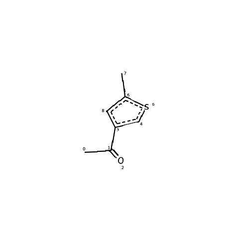 CC(=O)c1csc(C)c1